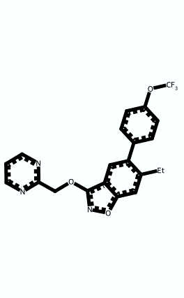 CCc1cc2onc(OCc3ncccn3)c2cc1-c1ccc(OC(F)(F)F)cc1